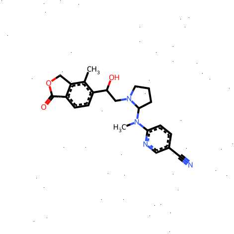 Cc1c(C(O)CN2CCCC2N(C)c2ccc(C#N)cn2)ccc2c1COC2=O